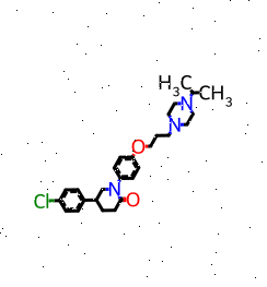 CC(C)N1CCN(CCCOc2ccc(N3CC(c4ccc(Cl)cc4)CCC3=O)cc2)CC1